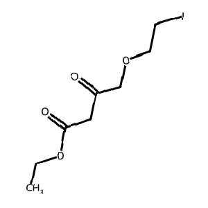 CCOC(=O)CC(=O)COCCI